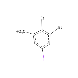 CCc1cc(I)cc(C(=O)O)c1CC